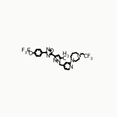 Cc1cc(-c2nc(-c3ccc(OC(F)(F)F)cc3)no2)nn1Cc1ccnc(N2CCCN(CC(F)(F)F)CC2)c1